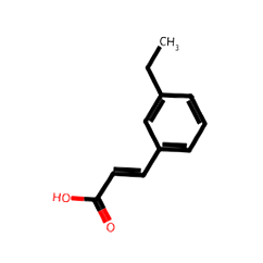 CCc1[c]ccc(C=CC(=O)O)c1